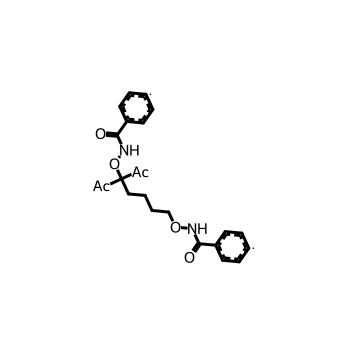 CC(=O)C(CCCCONC(=O)c1cc[c]cc1)(ONC(=O)c1cc[c]cc1)C(C)=O